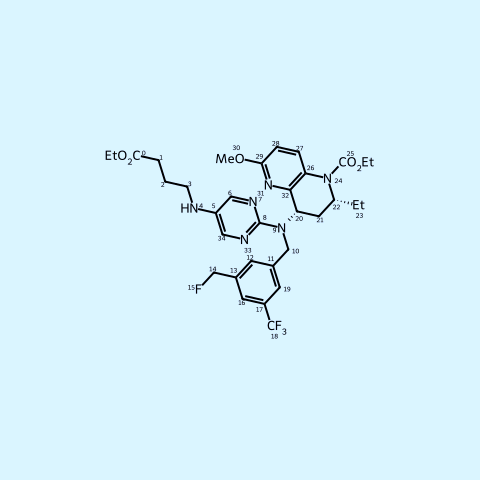 CCOC(=O)CCCNc1cnc(N(Cc2cc(CF)cc(C(F)(F)F)c2)[C@H]2C[C@@H](CC)N(C(=O)OCC)c3ccc(OC)nc32)nc1